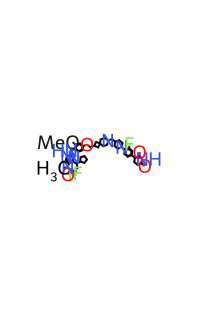 COc1cc(OCC2CC3(CCN(CC4CCN(c5ccc(C6CCC(=O)NC6=O)cc5F)CC4)CC3)C2)ccc1Nc1ncc2c(n1)C(C1CCCC1)CC(F)(F)C(=O)N2C